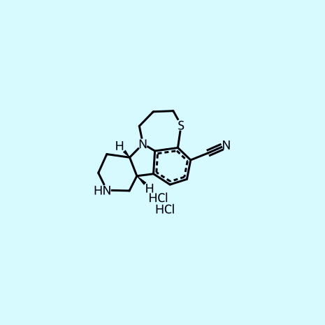 Cl.Cl.N#Cc1ccc2c3c1SCCCN3[C@H]1CCNC[C@@H]21